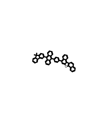 CC1(C)c2ccccc2-c2cc(-c3c4ccccc4c(-c4ccc(-c5cc6oc7c8ccccc8ccc7c6c6ccccc56)cc4)c4ccccc34)ccc21